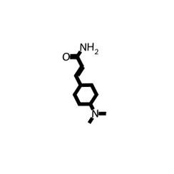 CN(C)C1CCC(C=CC(N)=O)CC1